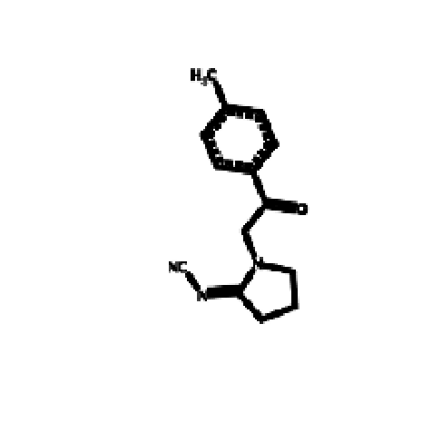 Cc1ccc(C(=O)CN2CCC/C2=N/C#N)cc1